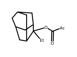 CCC1(OC(=O)C(C)=O)C2CC3CC(C2)CC1C3